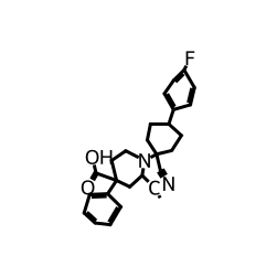 CCC1CC(C(=O)O)(c2ccccc2)CCN1C1(C#N)CCC(c2ccc(F)cc2)CC1